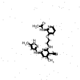 CC(=O)Nc1ncccc1OCCNc1nc(Nc2cc(C)[nH]n2)cc(C)c1C#N